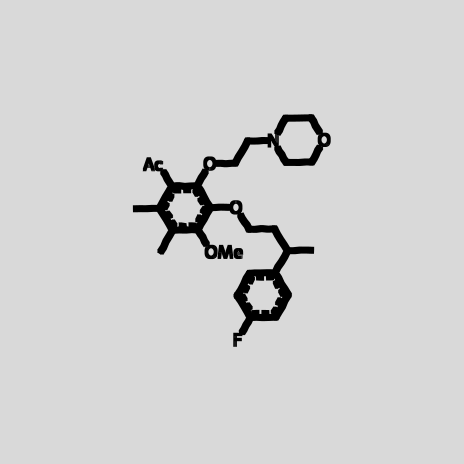 COc1c(C)c(C)c(C(C)=O)c(OCCN2CCOCC2)c1OCCC(C)c1ccc(F)cc1